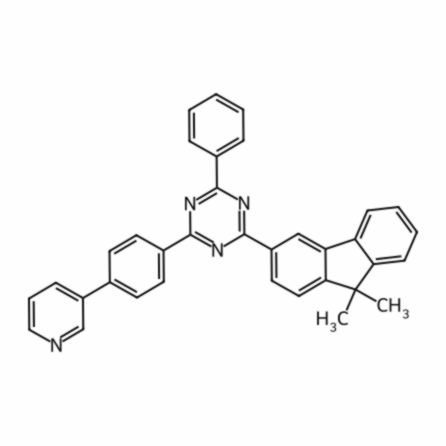 CC1(C)c2ccccc2-c2cc(-c3nc(-c4ccccc4)nc(-c4ccc(-c5cccnc5)cc4)n3)ccc21